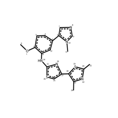 COc1ccc(-c2cncn2C)cc1Nc1nc(-c2sc(C)nc2C)cs1